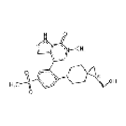 Cn1cc(-c2cc(S(C)(=O)=O)ccc2N2CCC3(CC2)C[C@H]3CO)c2cc[nH]c2c1=O